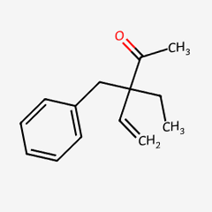 C=CC(CC)(Cc1ccccc1)C(C)=O